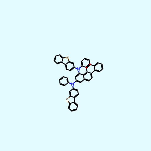 c1ccc(N(c2cc(N(c3ccccc3)c3ccc4c(c3)sc3ccccc34)c3c(ccc4c5ccccc5ccc43)c2)c2ccc3c(c2)sc2ccccc23)cc1